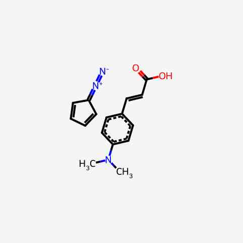 CN(C)c1ccc(C=CC(=O)O)cc1.[N-]=[N+]=C1C=CC=C1